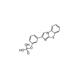 O=P(O)(O)Oc1cccc(-c2cn3c(n2)sc2ccccc23)c1